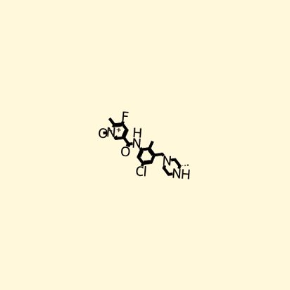 Cc1c(CN2CCN[C@@H](C)C2)cc(Cl)cc1NC(=O)c1cc(F)c(C)[n+]([O-])c1